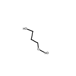 O=NOCCCO